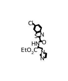 CCOC(=O)C(Cn1ccnc1)NC(=O)c1nc2ccc(Cl)cc2s1